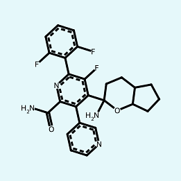 NC(=O)c1nc(-c2c(F)cccc2F)c(F)c(C2(N)CCC3CCCC3O2)c1-c1cccnc1